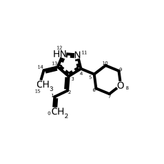 C=C/C=c1/c(C2CCOCC2)n[nH]/c1=C/C